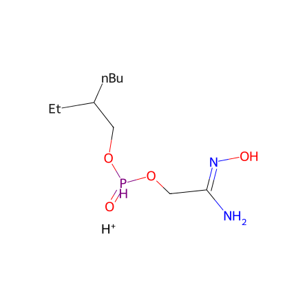 CCCCC(CC)CO[PH](=O)OCC(N)=NO.[H+]